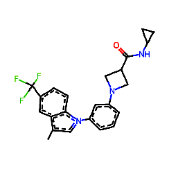 Cc1cn(-c2cccc(N3CC(C(=O)NC4CC4)C3)c2)c2ccc(C(F)(F)F)cc12